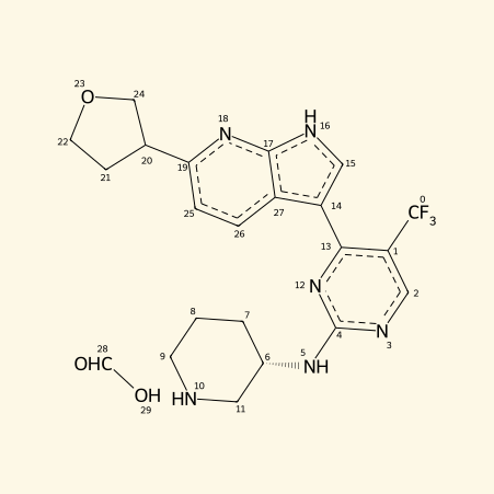 FC(F)(F)c1cnc(N[C@H]2CCCNC2)nc1-c1c[nH]c2nc(C3CCOC3)ccc12.O=CO